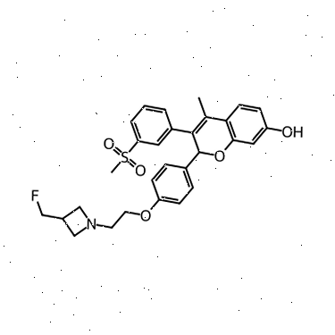 CC1=C(c2cccc(S(C)(=O)=O)c2)C(c2ccc(OCCN3CC(CF)C3)cc2)Oc2cc(O)ccc21